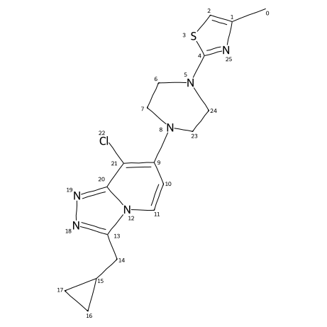 Cc1csc(N2CCN(c3ccn4c(CC5CC5)nnc4c3Cl)CC2)n1